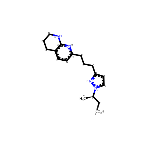 C[C@H](CC(=O)O)n1ccc(CCCc2ccc3c(n2)NCCC3)n1